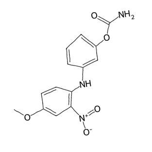 COc1ccc(Nc2cccc(OC(N)=O)c2)c([N+](=O)[O-])c1